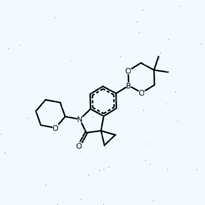 CC1(C)COB(c2ccc3c(c2)C2(CC2)C(=O)N3C2CCCCO2)OC1